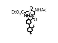 CCOC(=O)C(CSC(=O)C(CSC(=O)c1cc(-c2ccc(F)cc2F)ccc1O)NC(C)=O)NC(C)=O